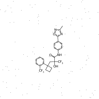 Cc1noc(-c2ccc(NC(=O)C(O)(CC3(c4ccccc4C(F)(F)F)CCC3)C(F)(F)F)cc2)n1